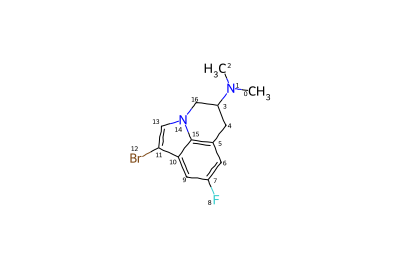 CN(C)C1Cc2cc(F)cc3c(Br)cn(c23)C1